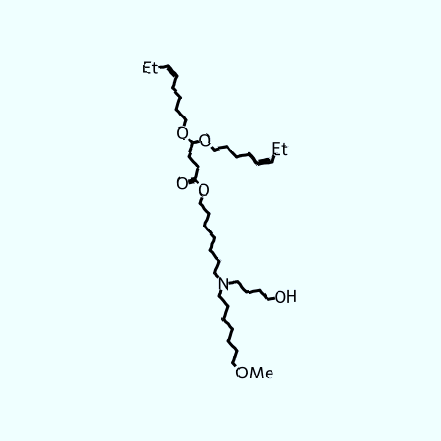 CC/C=C\CCCCOC(CCC(=O)OCCCCCCCN(CCCCO)CCCCCCCOC)OCCCC/C=C\CC